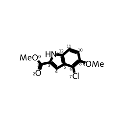 COC(=O)c1cc2c(Cl)c(OC)ccc2[nH]1